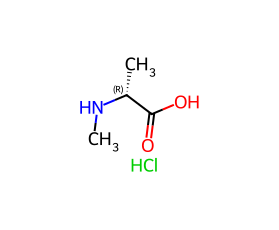 CN[C@H](C)C(=O)O.Cl